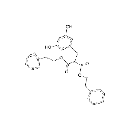 O=C(OCCc1ccccc1)C(Cc1cc(O)cc(O)c1)C(=O)OCCc1ccccc1